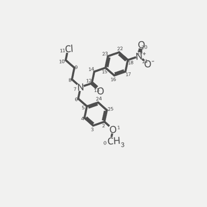 COc1ccc(CN(CCCCl)C(=O)Cc2ccc([N+](=O)[O-])cc2)cc1